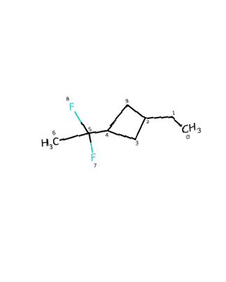 CCC1CC(C(C)(F)F)C1